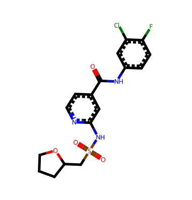 O=C(Nc1ccc(F)c(Cl)c1)c1ccnc(NS(=O)(=O)CC2CCCO2)c1